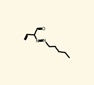 C=CC(C=O)N=NCCCCC